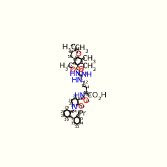 Cc1c(C)c(S(=O)(=O)NC(=N)NCCC[C@H](NC(=O)c2cccn(Cc3ccccc3-c3ccccc3C(C)C)c2=O)C(=O)O)c(C)c2c1OC(C)(C)CC2